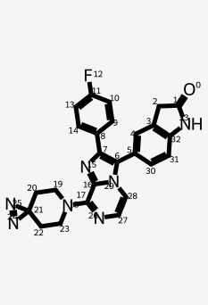 O=C1Cc2cc(-c3c(-c4ccc(F)cc4)nc4c(N5CCC6(CC5)N=N6)nccn34)ccc2N1